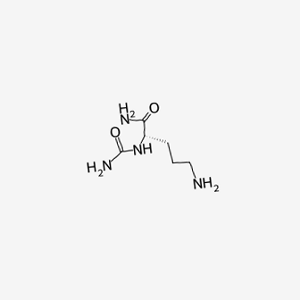 NCCC[C@H](NC(N)=O)C(N)=O